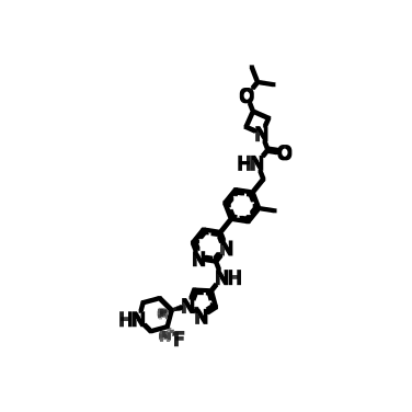 Cc1cc(-c2ccnc(Nc3cnn([C@@H]4CCNC[C@H]4F)c3)n2)ccc1CNC(=O)N1CC(OC(C)C)C1